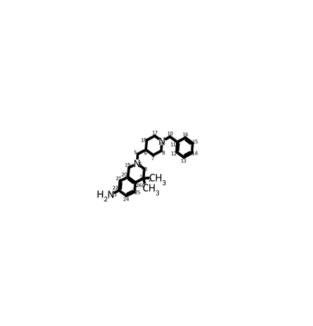 CC1(C)CN(CC2CCN(Cc3ccccc3)CC2)Cc2cc(N)ccc21